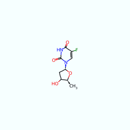 C[C@@H]1O[C@H](n2cc(F)c(=O)[nH]c2=O)CC1O